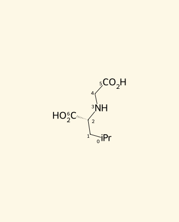 CC(C)C[C@@H](NCC(=O)O)C(=O)O